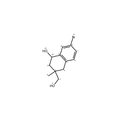 CC1(CO)Cc2ccc(Br)cc2C(O)C1